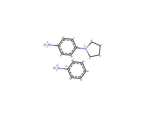 Nc1ccc(N2C[CH]CC2)cc1.Nc1ccccc1